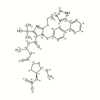 CCCc1nc(C(C)(C)O)c(C(=O)OC(C)OC(=O)[C@@H]2C[C@H](OC)[C@@H](O[N+](=O)[O-])C2)n1Cc1ccc(-c2ccccc2-c2nnn[nH]2)cc1